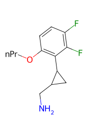 CCCOc1ccc(F)c(F)c1C1CC1CN